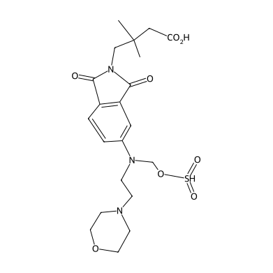 CC(C)(CC(=O)O)CN1C(=O)c2ccc(N(CCN3CCOCC3)CO[SH](=O)=O)cc2C1=O